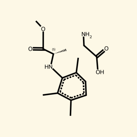 COC(=O)[C@H](C)Nc1c(C)ccc(C)c1C.NCC(=O)O